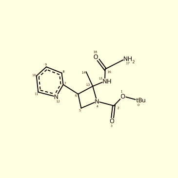 CC(C)(C)OC(=O)N1CC(c2ccccn2)C1(C)NC(N)=O